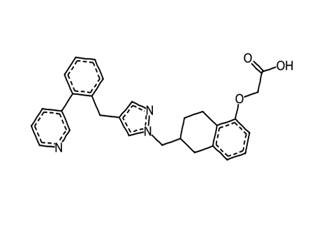 O=C(O)COc1cccc2c1CCC(Cn1cc(Cc3ccccc3-c3cccnc3)cn1)C2